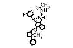 CC(=O)NCCNCc1c(OCc2cncc(F)c2)cc(OCc2cccc(-c3ccccc3)c2C)c2c1CCC2